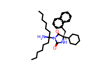 CCCCCCC(N)(CCCCCC)N1C(=O)N[C@@](Cc2cccc3ccccc23)(C2CCCCC2)C1=O